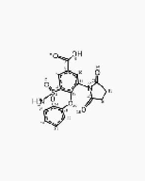 NS(=O)(=O)c1cc(C(=O)O)cc(N2C(=O)CCC2=O)c1Oc1ccccc1